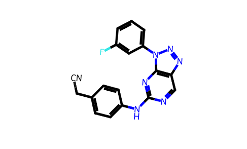 N#CCc1ccc(Nc2ncc3nnn(-c4cccc(F)c4)c3n2)cc1